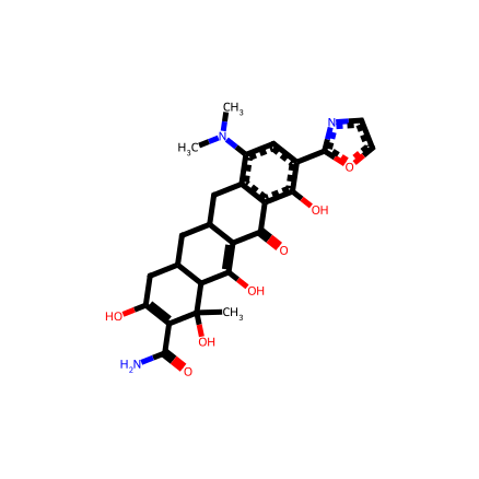 CN(C)c1cc(-c2ncco2)c(O)c2c1CC1CC3CC(O)=C(C(N)=O)C(C)(O)C3C(O)=C1C2=O